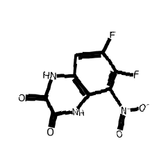 O=c1[nH]c2cc(F)c(F)c([N+](=O)[O-])c2[nH]c1=O